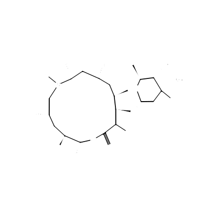 CCCN1C[C@@H](C)C[C@H](O)[C@@H](CC)OC(=O)C(C)[C@H](O[C@H]2C[C@@](C)(OC)[C@@H](O)[C@H](C)O2)[C@H](C)C[C@@H](C=O)C[C@H]1C